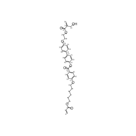 C=CC(=O)OCCCCCCOc1ccc(C(=O)Oc2ccc(-c3ccc(OCCOC(=O)C(=C)CO)cc3)cc2)cc1